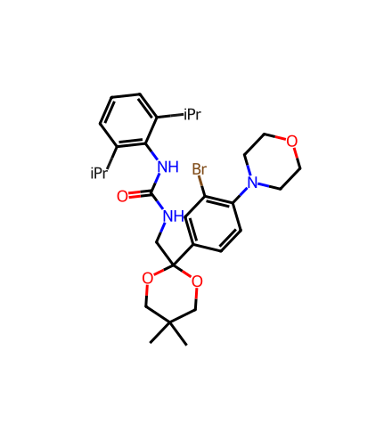 CC(C)c1cccc(C(C)C)c1NC(=O)NCC1(c2ccc(N3CCOCC3)c(Br)c2)OCC(C)(C)CO1